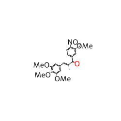 COc1cc(C(=O)C(C)=Cc2cc(OC)c(OC)c(OC)c2)ccc1[N+](=O)[O-]